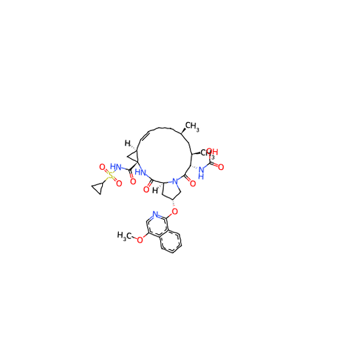 COc1cnc(O[C@@H]2C[C@H]3C(=O)N[C@]4(C(=O)NS(=O)(=O)C5CC5)C[C@H]4/C=C\CC[C@@H](C)C[C@@H](C)[C@H](NC(=O)O)C(=O)N3C2)c2ccccc12